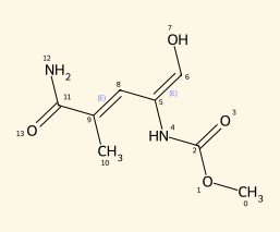 COC(=O)NC(=C/O)/C=C(\C)C(N)=O